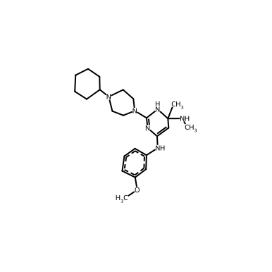 CNC1(C)C=C(Nc2cccc(OC)c2)N=C(N2CCN(C3CCCCC3)CC2)N1